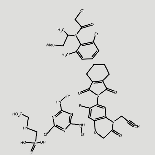 C#CCN1C(=O)COc2cc(F)c(N3C(=O)C4=C(CCCC4)C3=O)cc21.CCNc1nc(Cl)nc(NC(C)C)n1.CCc1cccc(C)c1N(C(=O)CCl)C(C)COC.O=C(O)CNCP(=O)(O)O